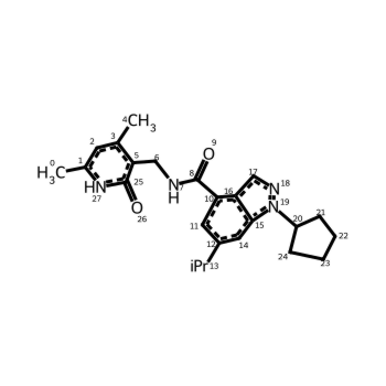 Cc1cc(C)c(CNC(=O)c2cc(C(C)C)cc3c2cnn3C2CCCC2)c(=O)[nH]1